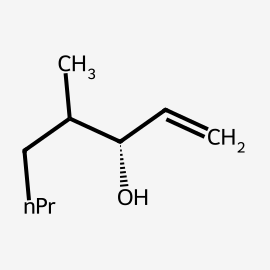 C=C[C@H](O)C(C)CCCC